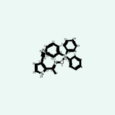 C/C(=N\O[Si](c1ccccc1)(c1ccccc1)c1ccccc1)c1sccc1C#N